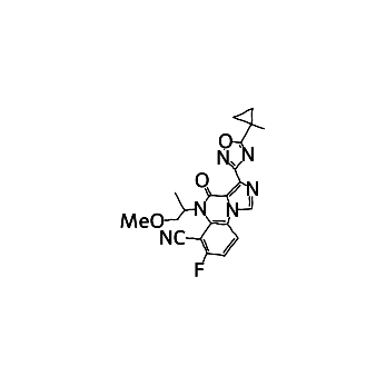 COCC(C)n1c(=O)c2c(-c3noc(C4(C)CC4)n3)ncn2c2ccc(F)c(C#N)c21